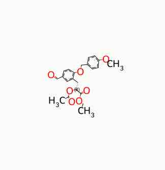 CCOC(=O)[C@@H](Cc1cc(C=O)ccc1OCc1ccc(OC)cc1)OC(C)=O